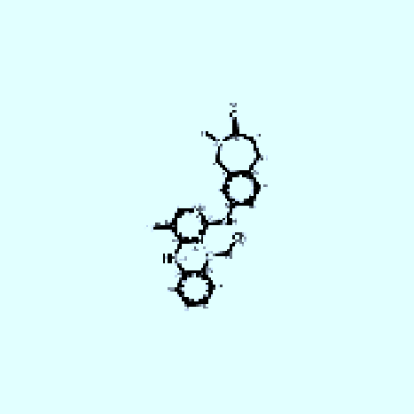 CN1Cc2cc(Nc3ncc(Cl)c(Nc4ccccc4OCC#N)n3)ccc2CCC1=O